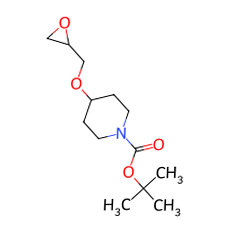 CC(C)(C)OC(=O)N1CCC(OCC2CO2)CC1